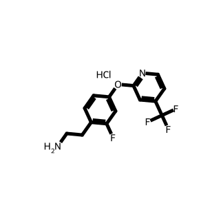 Cl.NCCc1ccc(Oc2cc(C(F)(F)F)ccn2)cc1F